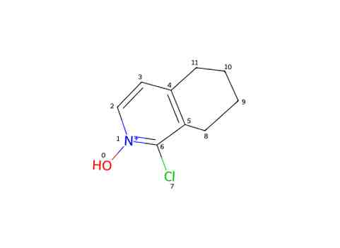 O[n+]1ccc2c(c1Cl)CCCC2